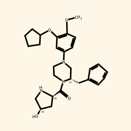 COc1ccc(N2CCN(C(=O)[C@H]3C[C@@H](O)CN3)[C@@H](Cc3ccccc3)C2)cc1OC1CCCC1